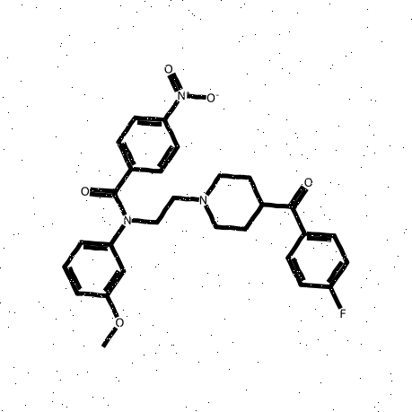 COc1cccc(N(CCN2CCC(C(=O)c3ccc(F)cc3)CC2)C(=O)c2ccc([N+](=O)[O-])cc2)c1